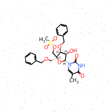 Cc1cn([C@@H]2O[C@@](COCc3ccccc3)(COS(C)(=O)=O)[C@@H](OCc3ccccc3)[C@H]2O)c(=O)[nH]c1=O